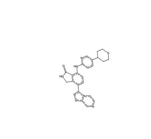 O=C1NCc2c(-c3cnc4cnccn34)ccc(Nc3ccc(C4CCOCC4)cn3)c21